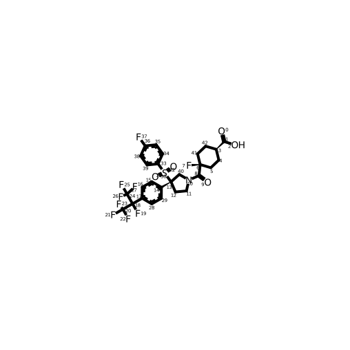 O=C(O)[C@H]1CC[C@](F)(C(=O)N2CC[C@](c3ccc(C(F)(C(F)(F)F)C(F)(F)F)cc3)(S(=O)(=O)c3ccc(F)cc3)C2)CC1